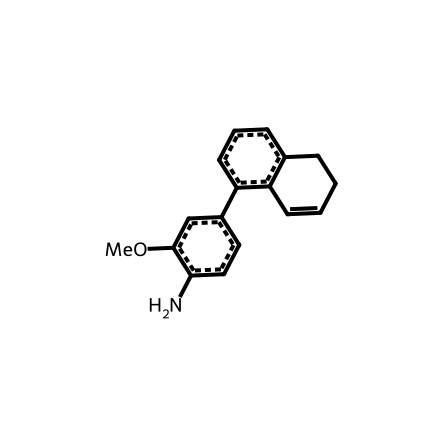 COc1cc(-c2cccc3c2C=CCC3)ccc1N